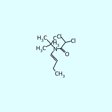 CCC=CN(C(=O)C(Cl)Cl)C(C)(C)C